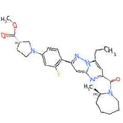 CCc1cc(C(=O)N2CCCCC[C@H]2C)nc2cc(-c3ccc(N4CC[C@H](C(=O)OC)C4)cc3F)nn12